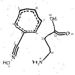 Cl.N#Cc1ccccc1.NCCC(=O)O